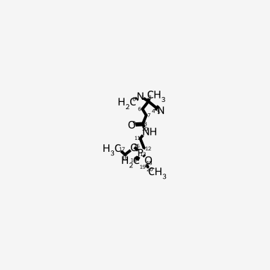 C=NC(C)(C#N)CCC(=O)NCCP(=C)(OCC)OCC